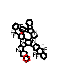 FC1(F)c2ccccc2C(F)(F)c2cc3c(cc21)c1c2c4c5c(ncc4n4c6cc7c(cc6c(c6c8c9c(ncc8n3c16)C1c3ccccc3C9c3ccccc31)c24)C(F)(F)c1ccccc1C7(F)F)C1c2ccccc2C12c1ccccc1C52